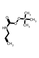 C=CCNC(=O)OO[Si](C)(C)C